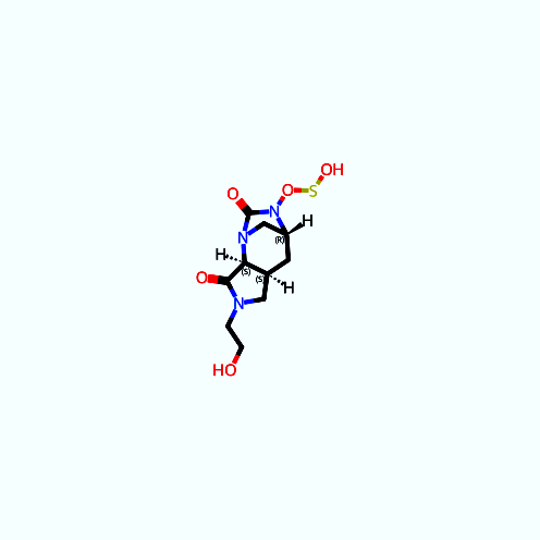 O=C1[C@@H]2[C@@H](C[C@@H]3CN2C(=O)N3OSO)CN1CCO